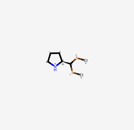 CCSC(SCC)[C@@H]1CCCN1